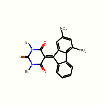 CCN1C(=O)C(=C2c3ccccc3-c3c2cc([N+](=O)[O-])cc3[N+](=O)[O-])C(=O)N(CC)C1=S